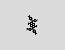 CC(C)c1ccc(N(c2ccc(F)cc2)c2cc(C(C)C)c3ccc4c(N(c5ccc(F)cc5)c5ccc(C(C)C)cc5)cc(C(C)C)c5ccc2c3c54)cc1